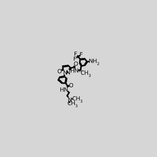 C[C@@H](NC(=O)c1ccc(=O)n(-c2cccc(C(=O)NCCN(C)C)c2)n1)c1cc(N)cc(C(F)(F)F)c1